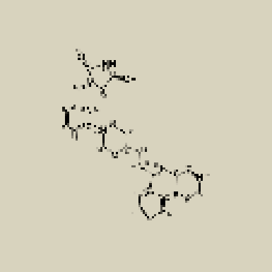 O=C1NC(=O)C(=Cc2ccnc(N3CCC(CNCc4cccnc4-c4ccncc4F)CC3)n2)S1